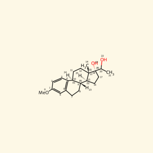 COc1ccc2c(c1)CC[C@@H]1[C@@H]2CC[C@@]2(C)[C@H]1CC[C@]2(O)C(C)O